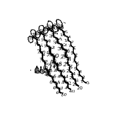 CCCCCCCCCCCCCCCCCC(=O)[O-].CCCCCCCCCCCCCCCCCC(=O)[O-].CCCCCCCCCCCCCCCCCC(=O)[O-].CCCCCCCCCCCCCCCCCC(=O)[O-].[Co+2].[Mg+2]